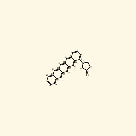 O=C1CCN(c2cccc3cc4cc5cc6ccccc6cc5cc4cc23)C1